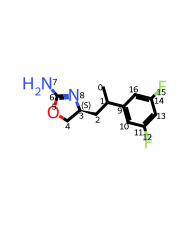 CC(C[C@H]1COC(N)=N1)c1cc(F)cc(F)c1